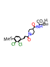 CCC(C)C(NC(=O)C1CCN(C(=O)C=Cc2ccc(SC)c(Cl)c2Cl)CC1)C(=O)O